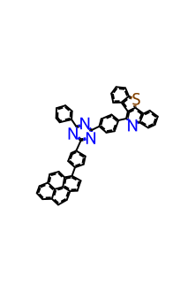 c1ccc(-c2nc(-c3ccc(-c4ccc5ccc6cccc7ccc4c5c67)cc3)nc(-c3ccc(-c4nc5ccccc5c5sc6ccccc6c45)cc3)n2)cc1